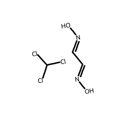 ClC(Cl)Cl.ON=CC=NO